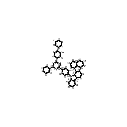 c1ccc(-c2ccc(-c3cc(-c4ccccc4)nc(-c4ccc(-n5c6ccccc6c6ccc7c(c65)-c5cccc6cccc-7c56)cc4)n3)cc2)cc1